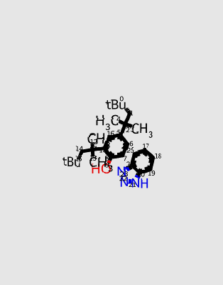 CC(C)(C)CC(C)(C)c1ccc(O)c(C(C)(C)CC(C)(C)C)c1.c1ccc2[nH]nnc2c1